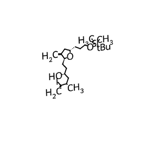 C=C(I)[C@H](C)C[C@H](O)CC[C@@H]1O[C@@H](CCCO[Si](C)(C)C(C)(C)C)CC1=C